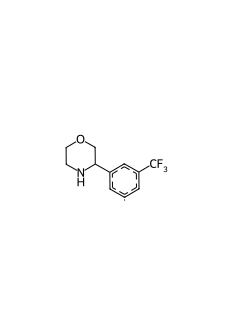 FC(F)(F)c1c[c]cc(C2COCCN2)c1